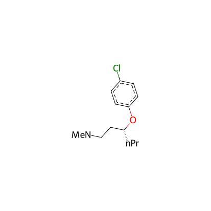 CCC[C@H](CCNC)Oc1ccc(Cl)cc1